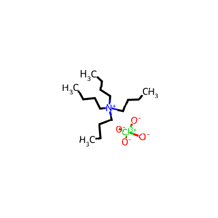 CCCC[N+](CCCC)(CCCC)CCCC.[O-][Cl+3]([O-])([O-])[O-]